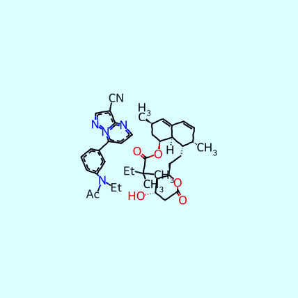 CCC(C)(C)C(=O)O[C@H]1C[C@@H](C)C=C2C=C[C@H](C)[C@H](CC[C@@H]3C[C@@H](O)CC(=O)O3)[C@H]21.CCN(C(C)=O)c1cccc(-c2ccnc3c(C#N)cnn23)c1